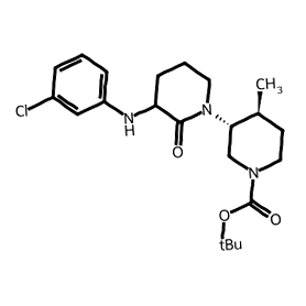 C[C@H]1CCN(C(=O)OC(C)(C)C)C[C@@H]1N1CCCC(Nc2cccc(Cl)c2)C1=O